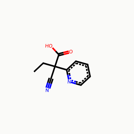 CCC(C#N)(C(=O)O)c1ccccn1